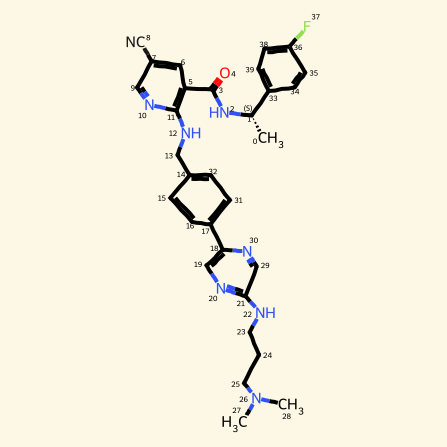 C[C@H](NC(=O)c1cc(C#N)cnc1NCc1ccc(-c2cnc(NCCCN(C)C)cn2)cc1)c1ccc(F)cc1